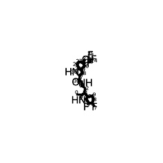 Cc1[nH]c2c(F)c(F)ccc2c1CCNC(=O)c1cc2cc(OC(F)(F)F)ccc2[nH]1